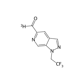 [2H]C(=O)c1cc2cnn(CC(F)(F)F)c2cn1